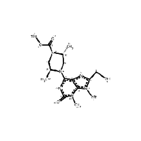 CCCn1c(CO)nc2c(N3C[C@@H](C)N(C(=O)OC(C)(C)C)C[C@@H]3C)nc(=O)n(C)c21